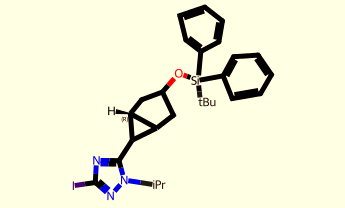 CC(C)n1nc(I)nc1C1C2CC(O[Si](c3ccccc3)(c3ccccc3)C(C)(C)C)C[C@H]21